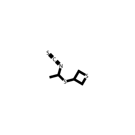 CC(N=C=S)SC1CSC1